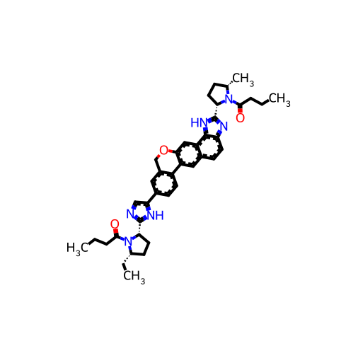 CCCC(=O)N1[C@@H](CC)CC[C@H]1c1ncc(-c2ccc3c(c2)COc2cc4c(ccc5nc([C@@H]6CC[C@H](C)N6C(=O)CCC)[nH]c54)cc2-3)[nH]1